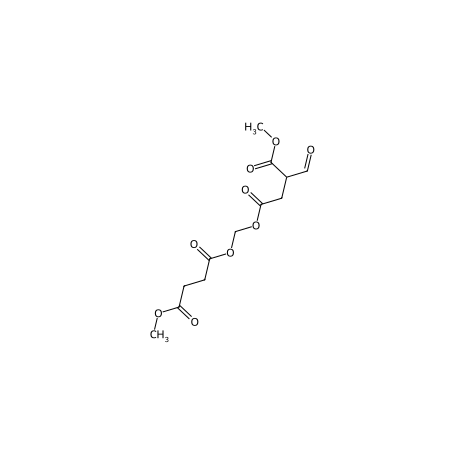 COC(=O)CCC(=O)OCOC(=O)CC(C=O)C(=O)OC